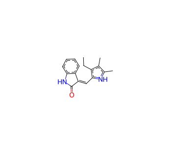 CCc1c(C=C2C(=O)Nc3ccccc32)[nH]c(C)c1C